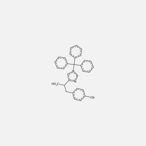 N#Cc1ccc(CC(C(=O)O)c2cn(C(c3ccccc3)(c3ccccc3)c3ccccc3)cn2)cc1